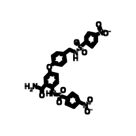 NC(=O)c1cc(Oc2ccc(CNS(=O)(=O)c3ccc([N+](=O)[O-])cc3)cc2)ccc1NS(=O)(=O)c1ccc([N+](=O)[O-])cc1